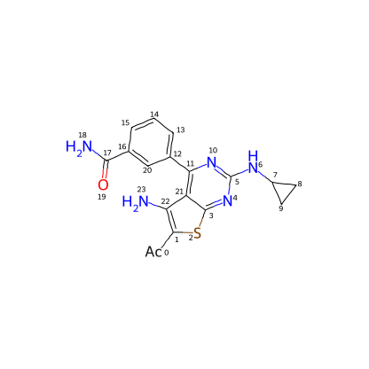 CC(=O)c1sc2nc(NC3CC3)nc(-c3cccc(C(N)=O)c3)c2c1N